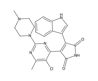 Cc1nc(N2CCN(C)CC2)nc(C2=C(c3c[nH]c4ccccc34)C(=O)NC2=O)c1Cl